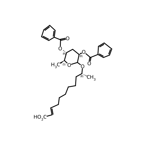 C[C@H](CCCCCCC=CC(=O)O)OC1O[C@@H](C)[C@H](OC(=O)c2ccccc2)C[C@H]1OC(=O)c1ccccc1